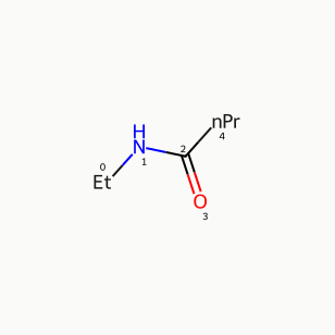 [CH2]CNC(=O)CCC